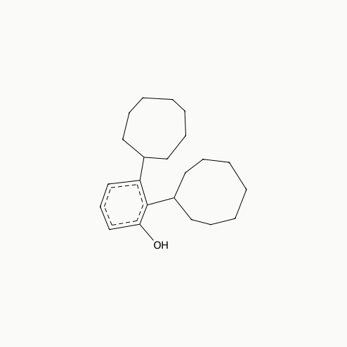 Oc1cccc(C2CCCCCCC2)c1C1CCCCCCC1